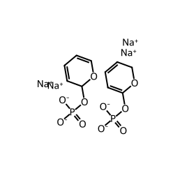 O=P([O-])([O-])OC1=CC=CCO1.O=P([O-])([O-])OC1C=CC=CO1.[Na+].[Na+].[Na+].[Na+]